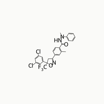 Cc1cc(C2=NOC(c3cc(Cl)cc(Cl)c3)(C(F)(F)F)C2)ccc1C(=O)NN(C)c1ccccc1